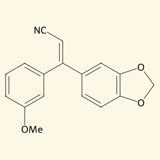 COc1cccc(C(=CC#N)c2ccc3c(c2)OCO3)c1